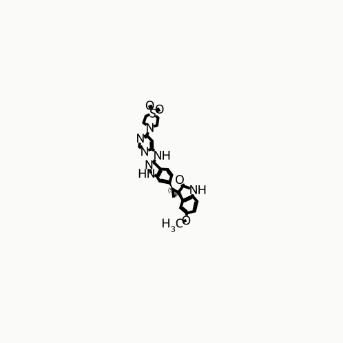 COc1ccc2c(c1)[C@]1(C[C@H]1c1ccc3c(Nc4cc(N5CCS(=O)(=O)CC5)ncn4)n[nH]c3c1)C(=O)N2